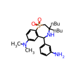 CCCCC1(CCCC)CS(=O)(=O)c2ccc(N(C)C)cc2C(c2cccc(N)c2)N1